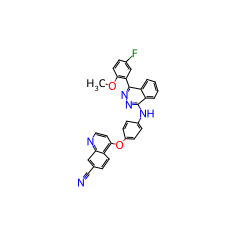 COc1ccc(F)cc1-c1nnc(Nc2ccc(Oc3ccnc4cc(C#N)ccc34)cc2)c2ccccc12